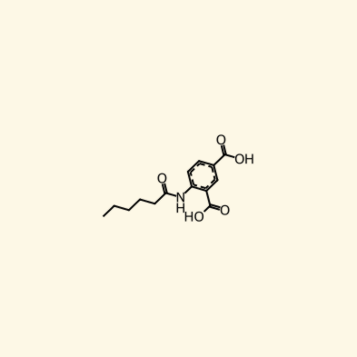 CCCCCC(=O)Nc1ccc(C(=O)O)cc1C(=O)O